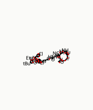 C=C1/C=C(F)\C=C/CC(=O)N(C2CC2)Cc2nn(CCNC(=O)CCOCCOCCN3CCN(C(=O)N4C(c5ccc(C(C)(C)C)cc5OCC)=N[C@@](C)(c5ccc(Cl)cc5)[C@@]4(C)c4ccc(Cl)cc4)CC3)c(C#N)c2-c2cnc(N)c(c2)N2CCC[C@H]12